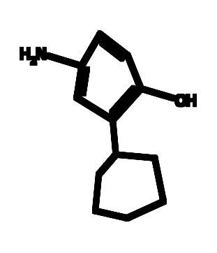 Nc1ccc(O)c(C2CCCCC2)c1